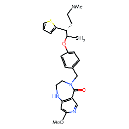 CNCC[C@@H](c1cccs1)C([SiH3])Oc1ccc(CN2CCNc3cc(OC)ncc3C2=O)cc1